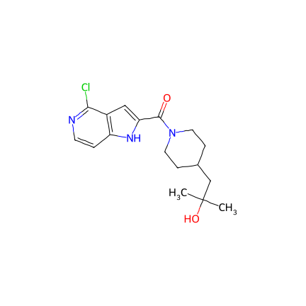 CC(C)(O)CC1CCN(C(=O)c2cc3c(Cl)nccc3[nH]2)CC1